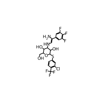 N/C(=C\NC1C(O)C(CO)OC(Sc2ccc(C(F)(F)F)c(Cl)c2)C1O)c1cc(F)c(F)c(F)c1